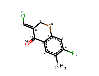 Cc1cc2c(cc1F)SC/C(=C\Cl)C2=O